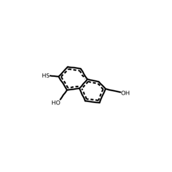 Oc1ccc2c(O)c(S)ccc2c1